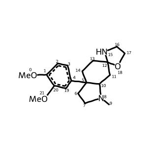 COc1ccc(C23CCN(C)C2CC2(CC3)NCCO2)cc1OC